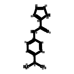 CN(C)c1cnc(NC(=O)c2nnn[nH]2)cn1